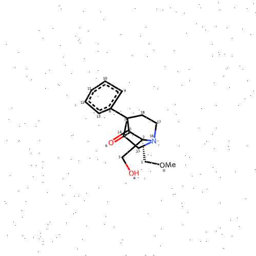 COC[C@]1(CO)C(=O)C2(c3ccccc3)CCN1CC2